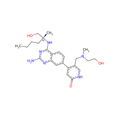 CCCC[C@](C)(CO)Nc1nc(N)nc2cc(-c3cc(=O)[nH]cc3CN(C)CCO)ccc12